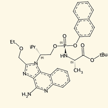 CCOCc1nc2c(N)nc3ccccc3c2n1[C@@H](CO[P@@](=O)(N[C@@H](C)C(=O)OC(C)(C)C)Oc1ccc2ccccc2c1)C(C)C